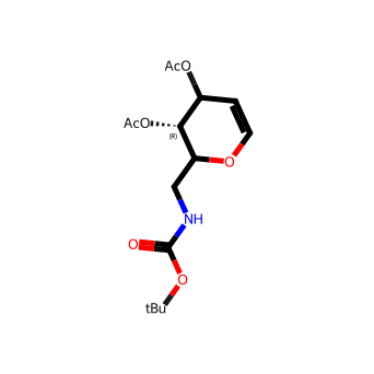 CC(=O)OC1C=COC(CNC(=O)OC(C)(C)C)[C@@H]1OC(C)=O